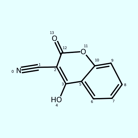 N#Cc1c(O)c2ccccc2oc1=O